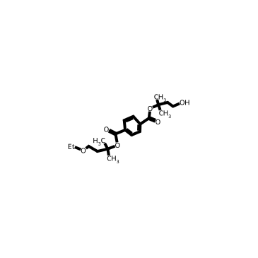 CCOCCC(C)(C)OC(=O)c1ccc(C(=O)OC(C)(C)CCO)cc1